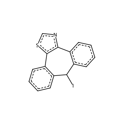 IC1c2ccccc2-c2ncsc2-c2ccccc21